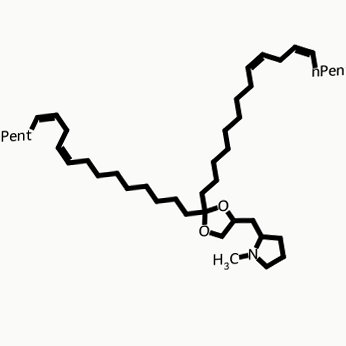 CCCCC/C=C\C/C=C\CCCCCCCCC1(CCCCCCCC/C=C\C/C=C\CCCCC)OCC(CC2CCCN2C)O1